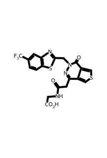 O=C(O)CNC(=O)Cc1nn(Cc2nc3cc(C(F)(F)F)ccc3s2)c(=O)c2cscc12